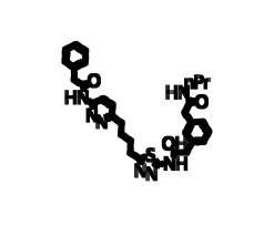 CCCNC(=O)Cc1cccc(CC(O)Nc2nnc(CCCCc3ccc(NC(=O)Cc4ccccc4)nn3)s2)c1